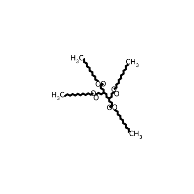 CCCCCCCCCCCCOC(=O)CCC(CCC(=O)OCCCCCCCCCCCC)CCC(CCC(=O)OCCCCCCCCCCCC)CCC(=O)OCCCCCCCCCCCC